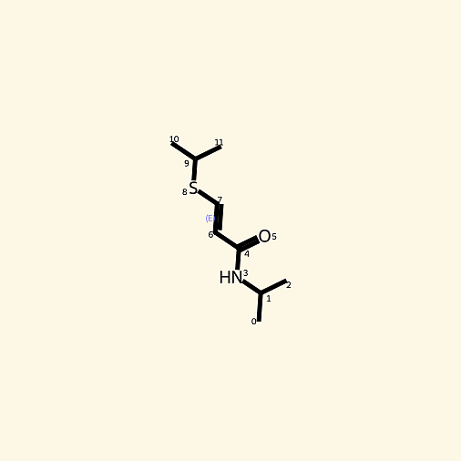 CC(C)NC(=O)/C=C/SC(C)C